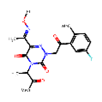 CCO/N=C(\C)c1nn(CC(=O)c2cc(F)ccc2OC)c(=O)n(C(C)C(=O)OC)c1=O